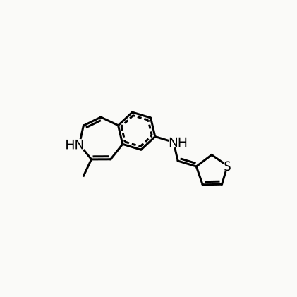 CC1=Cc2cc(N/C=C3/C=CSC3)ccc2C=CN1